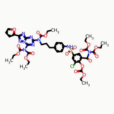 CCOC(=O)Oc1c(Cl)cc(S(=O)(=O)Nc2ccc(CCCN(C(=O)OCC)c3nc(N(C(=O)OCC)C(=O)OCC)n4nc(-c5ccco5)nc4n3)cc2)cc1C(=O)N(C(=O)OCC)C(=O)OCC